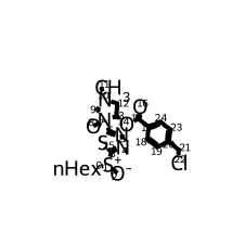 CCCCCC[S+]([O-])c1nnc([N+]2([O-])CN(C)CC2OC(=O)c2ccc(CCl)cc2)s1